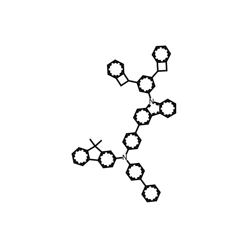 CC1(C)c2ccccc2-c2ccc(N(c3ccc(-c4ccccc4)cc3)c3ccc(-c4ccc5c(c4)c4ccccc4n5-c4cc(C5Cc6ccccc65)cc(C5Cc6ccccc65)c4)cc3)cc21